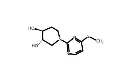 CSc1ccnc(N2CC[C@H](O)[C@@H](O)C2)n1